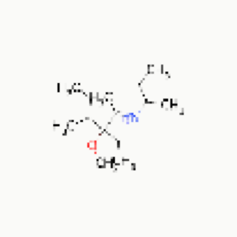 CCC(C)/N=C(\C)C(CC)(OC)C(C)CC